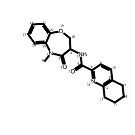 CN1C(=O)C(NC(=O)c2ccc3c(n2)CCCC3)COc2ccccc21